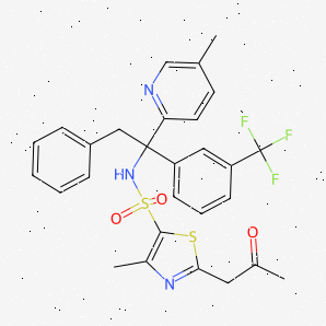 CC(=O)Cc1nc(C)c(S(=O)(=O)NC(Cc2ccccc2)(c2cccc(C(F)(F)F)c2)c2ccc(C)cn2)s1